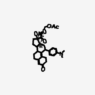 CC(=O)OCOCC(=O)[C@@]1(OC(C)=O)CCC2C3CCC4=CC(=O)CCC4=C3C(c3ccc(N(C)C)cc3)C[C@@]21C